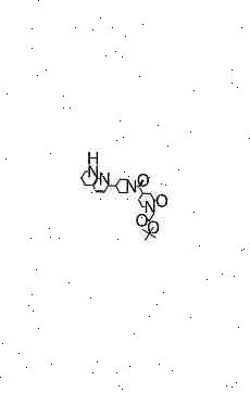 CC(C)(C)OC(=O)CN1CCC(C(=O)N2CCC(c3ccc4c(n3)NCCC4)CC2)CC1=O